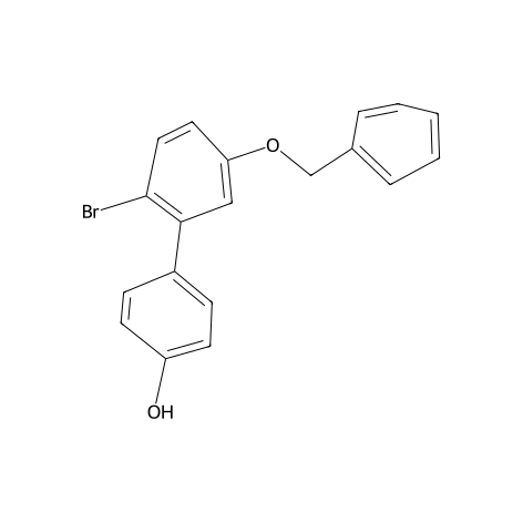 Oc1ccc(-c2cc(OCc3ccccc3)ccc2Br)cc1